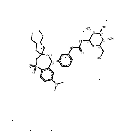 CCCCC1(CCCC)CS(=O)(=O)c2ccc(N(C)C)cc2[C@@H](c2cccc(NC(=O)N[C@@H]3O[C@H](CO)[C@@H](O)[C@H](O)[C@H]3O)c2)N1